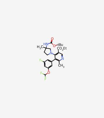 CCOC(=O)c1cnc(C)c(-c2cc(F)cc(OC(F)F)c2)c1N1CCC(C)(NC(=O)OC(C)(C)C)C1